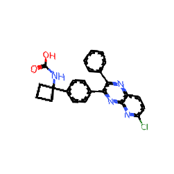 O=C(O)NC1(c2ccc(-c3nc4nc(Cl)ccc4nc3-c3ccccc3)cc2)CCC1